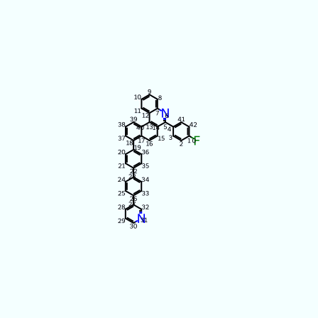 Fc1ccc(-c2nc3ccccc3c3c2ccc2c(-c4ccc(-c5ccc(-c6cccnc6)cc5)cc4)cccc23)cc1